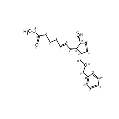 COC(=O)CCCC=CC[C@@H]1[C@@H](COCc2ccccc2)C=C[C@@H]1O